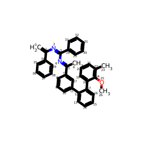 C=C(/N=C(\N=C(/C)c1cccc(-c2ccccc2-c2cccc(C)c2OC)c1)c1ccccc1)c1ccccc1